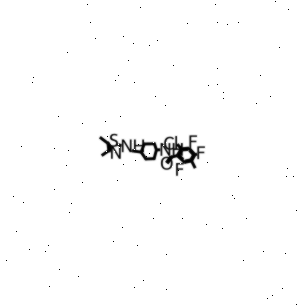 Cc1nc(NCC2CCC(NC(=O)c3c(F)c(C)c(F)c(F)c3Cl)CC2)sc1C